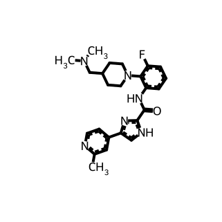 Cc1cc(-c2c[nH]c(C(=O)Nc3cccc(F)c3N3CCC(CN(C)C)CC3)n2)ccn1